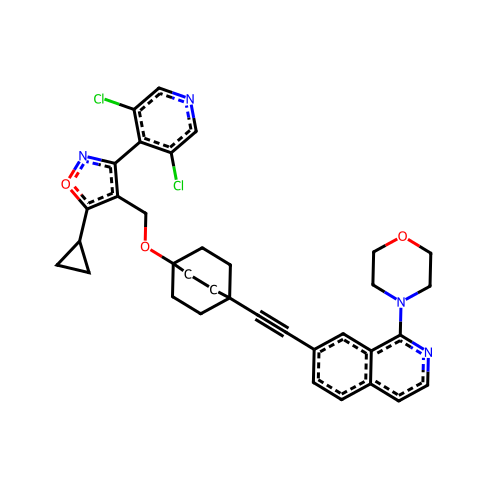 Clc1cncc(Cl)c1-c1noc(C2CC2)c1COC12CCC(C#Cc3ccc4ccnc(N5CCOCC5)c4c3)(CC1)CC2